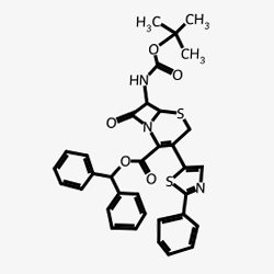 CC(C)(C)OC(=O)NC1C(=O)N2C(C(=O)OC(c3ccccc3)c3ccccc3)=C(c3cnc(-c4ccccc4)s3)CSC12